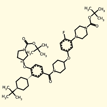 CC(C)(C)OC(=O)N1CCN(c2cc(OC3CCN(C(=O)c4ccc(O[C@H]5CCN(C(=O)OC(C)(C)C)C5)c([C@H]5CC[C@H](C(C)(C)C)CC5)c4)CC3)ccc2F)CC1